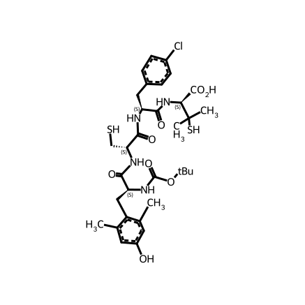 Cc1cc(O)cc(C)c1C[C@H](NC(=O)OC(C)(C)C)C(=O)N[C@H](CS)C(=O)N[C@@H](Cc1ccc(Cl)cc1)C(=O)N[C@@H](C(=O)O)C(C)(C)S